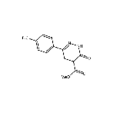 COC(=O)C1CC(c2ccc(C(F)(F)F)cc2)=NNC1=O